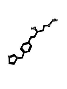 CCCCOCCC(O)C=Cc1ccc(Cn2ccnc2)cc1